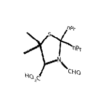 CCCC1(CCC)SC(C)(C)C(C(=O)O)N1C=O